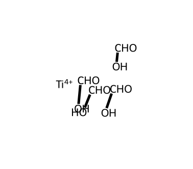 O=[C-]O.O=[C-]O.O=[C-]O.O=[C-]O.[Ti+4]